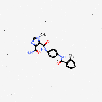 Cn1cnc(C(N)=O)c1C(=O)Nc1ccc(NC(=O)c2ccccc2C(F)(F)F)cc1